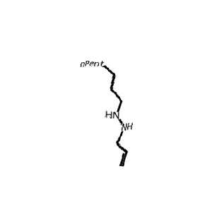 C=CCNNCCCCCCCC